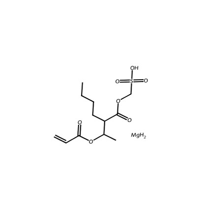 C=CC(=O)OC(C)C(CCCC)C(=O)OCS(=O)(=O)O.[MgH2]